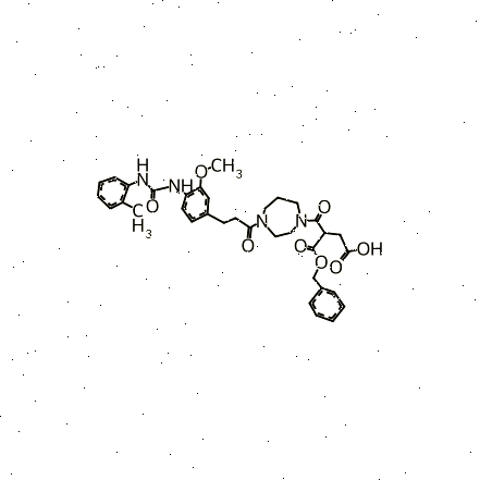 COc1cc(CCC(=O)N2CCCN(C(=O)C(CC(=O)O)C(=O)OCc3ccccc3)CC2)ccc1NC(=O)Nc1ccccc1C